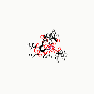 CC(=O)OC[C@H]1O[C@H](CP(=O)(OCOC(=O)C(C)(C)C)OCOC(=O)C(C)(C)C)[C@@H](OC(C)=O)[C@@H](OC(C)=O)[C@@H]1OC(C)=O